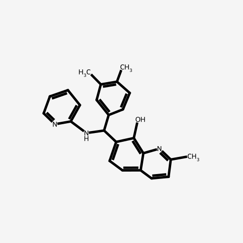 Cc1ccc2ccc(C(Nc3ccccn3)c3ccc(C)c(C)c3)c(O)c2n1